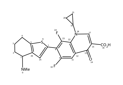 CNC1CCCc2sc(-c3c(F)cc4c(=O)c(C(=O)O)cn(C5CC5)c4c3F)cc21